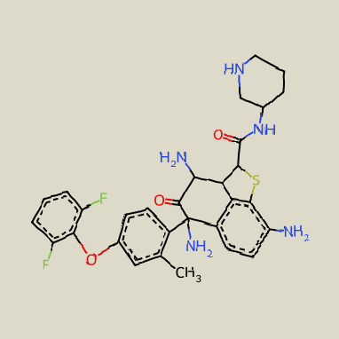 Cc1cc(Oc2c(F)cccc2F)ccc1C1(N)C(=O)C(N)C2c3c1ccc(N)c3SC2C(=O)NC1CCCNC1